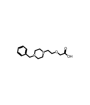 O=C(O)COCCN1CCN(Cc2ccccc2)CC1